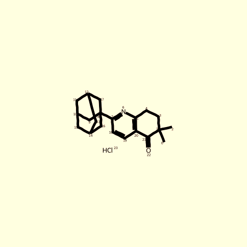 CC1(C)CCc2nc(C34CC5CC(CC(C5)C3)C4)ccc2C1=O.Cl